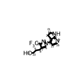 C[C@H]1Cc2c(-n3cc(CCCO)c(C(F)(F)F)n3)ccnc2N1